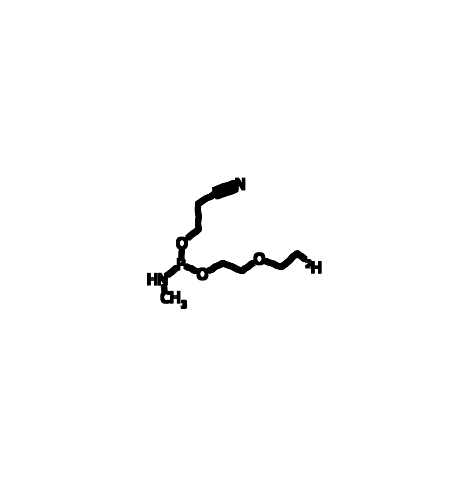 [2H]CCOCCOP(NC)OCCC#N